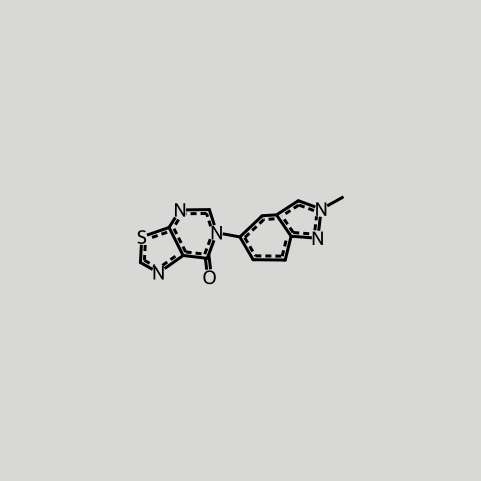 Cn1cc2cc(-n3cnc4scnc4c3=O)ccc2n1